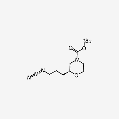 CC(C)(C)OC(=O)N1CCO[C@@H](CCCN=[N+]=[N-])C1